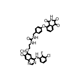 COc1cc2ncnc(Nc3cccc(Cl)c3F)c2cc1OCCNC(=O)NCc1ccc(Oc2cccc3c2C(=O)NC(=O)C3=O)cc1